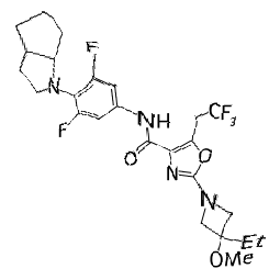 CCC1(OC)CN(c2nc(C(=O)Nc3cc(F)c(N4CCC5CCCC54)c(F)c3)c(CC(F)(F)F)o2)C1